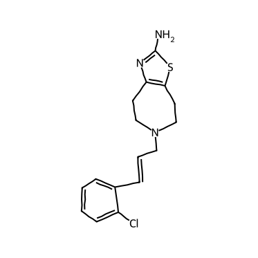 Nc1nc2c(s1)CCN(CC=Cc1ccccc1Cl)CC2